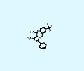 Cc1nc(-c2cccnc2)n(Cc2cccc(C(F)(F)F)c2)c1C(=O)O